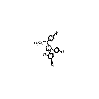 [C-]#[N+]c1ccc([C@H](COC)N2CCN(c3ccc(C#N)cc3Cl)[C@H](c3ccc(Cl)cc3)C2)cc1